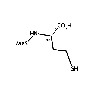 CSN[C@@H](CCS)C(=O)O